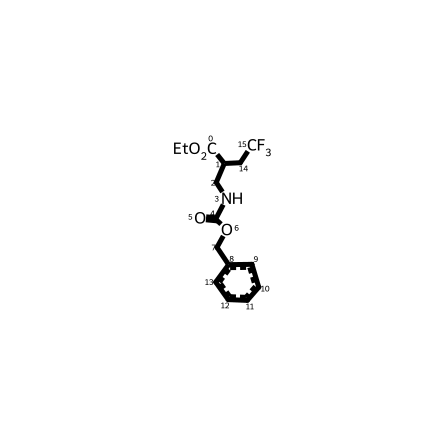 CCOC(=O)C(CNC(=O)OCc1ccccc1)CC(F)(F)F